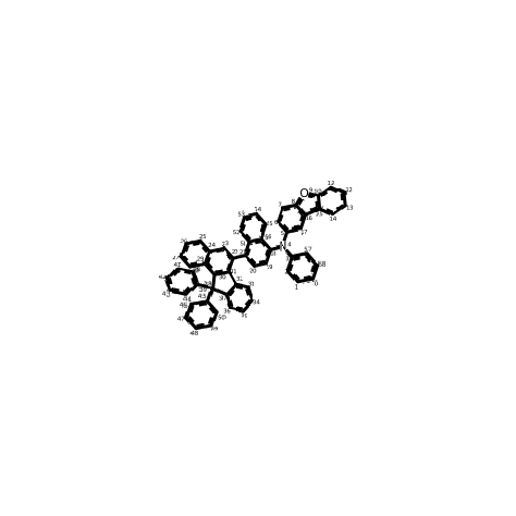 c1ccc(N(c2ccc3oc4ccccc4c3c2)c2ccc(-c3cc4ccccc4c4c3-c3ccccc3C4(c3ccccc3)c3ccccc3)c3ccccc23)cc1